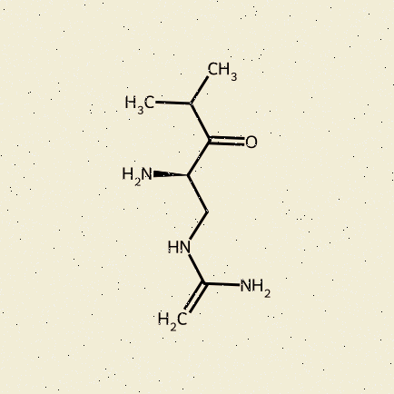 C=C(N)NC[C@@H](N)C(=O)C(C)C